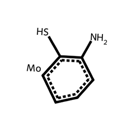 Nc1ccccc1S.[Mo]